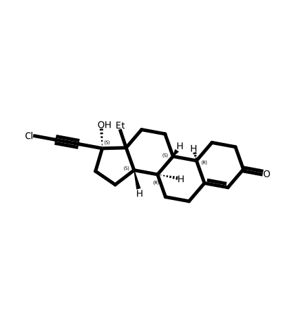 CCC12CC[C@H]3[C@@H](CCC4=CC(=O)CC[C@@H]43)[C@@H]1CC[C@@]2(O)C#CCl